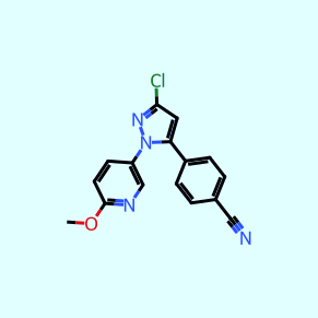 COc1ccc(-n2nc(Cl)cc2-c2ccc(C#N)cc2)cn1